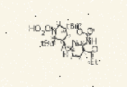 CCC(=O)c1ccc([AsH]C2CCCN(C(=O)O)C2C(C)(C)C)nc1NC(=O)OC(C)(C)C